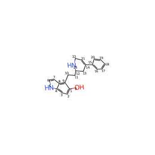 Oc1ccc2[nH]ccc2c1CCC1CC(c2ccccc2)=CCN1